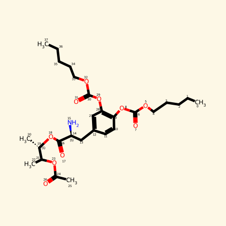 CCCCCOC(=O)Oc1ccc(C[C@H](N)C(=O)O[C@@H](C)C(C)OC(C)=O)cc1OC(=O)OCCCCC